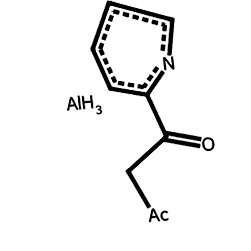 CC(=O)CC(=O)c1ccccn1.[AlH3]